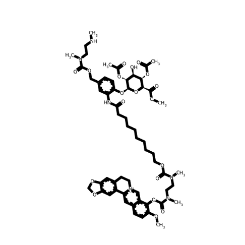 CNCCN(C)C(=O)OCc1ccc(O[C@@H]2O[C@H](C(=O)OC)[C@@H](OC(C)=O)[C@H](O)[C@H]2OC(C)=O)c(NC(=O)CCCCCCCCCOC(=O)N(C)CCN(C)C(=O)Oc2c(OC)ccc3cc4[n+](cc23)CCc2cc3c(cc2-4)OCO3)c1